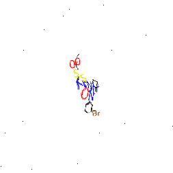 CCOC(=O)CSc1cnc(NC(=O)N(CC2CCCC2)c2cccc(Br)c2)s1